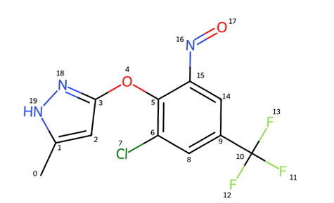 Cc1cc(Oc2c(Cl)cc(C(F)(F)F)cc2N=O)n[nH]1